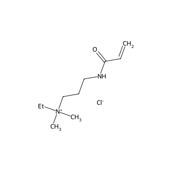 C=CC(=O)NCCC[N+](C)(C)CC.[Cl-]